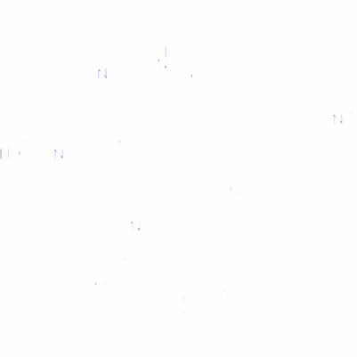 CNc1cc2c(-c3cc(OCc4ccncc4)c4c(n3)C3(CCOC3)OCC4)cn(C)c2cn1